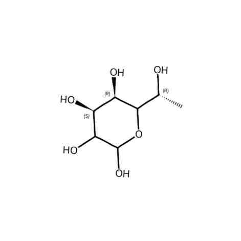 C[C@@H](O)C1OC(O)C(O)[C@@H](O)[C@H]1O